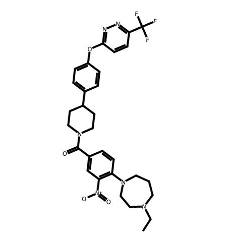 CCN1CCCN(c2ccc(C(=O)N3CCC(c4ccc(Oc5ccc(C(F)(F)F)nn5)cc4)CC3)cc2[N+](=O)[O-])CC1